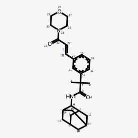 CC(C)(C(=O)NC1C2CC3CC(C2)CC1C3)c1cccc(/C=C/C(=O)N2CCOCC2)c1